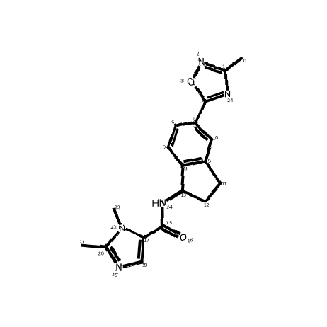 Cc1noc(-c2ccc3c(c2)CCC3NC(=O)c2cnc(C)n2C)n1